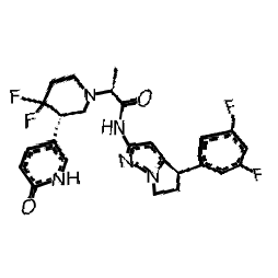 C[C@@H](C(=O)Nc1cc2n(n1)CCC2c1cc(F)cc(F)c1)N1CCC(F)(F)[C@@H](c2ccc(=O)[nH]c2)C1